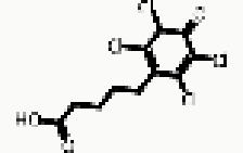 O=C(O)CCCCC1=C(Cl)C(Cl)C(=O)C(Cl)=C1Cl